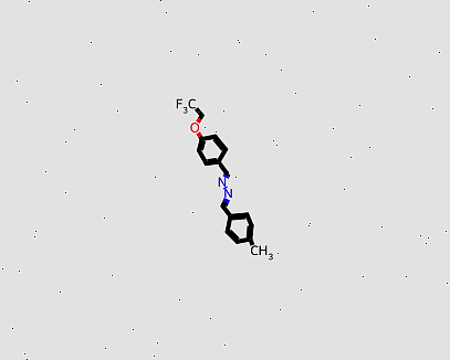 Cc1ccc(C=NN=Cc2ccc(OCC(F)(F)F)cc2)cc1